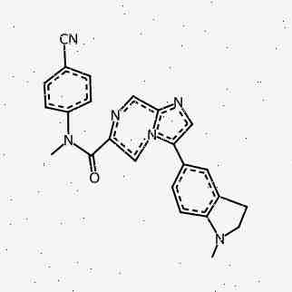 CN1CCc2cc(-c3cnc4cnc(C(=O)N(C)c5ccc(C#N)cc5)cn34)ccc21